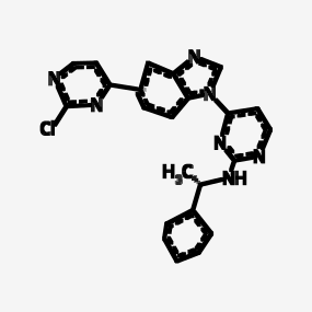 C[C@H](Nc1nccc(-n2cnc3cc(-c4ccnc(Cl)n4)ccc32)n1)c1ccccc1